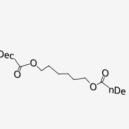 CCCCCCCCCCC(=O)OCCCCCCOC(=O)CCCCCCCCCC